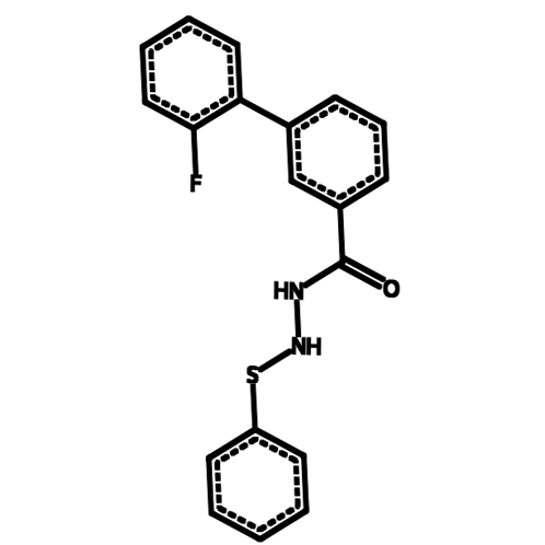 O=C(NNSc1ccccc1)c1cccc(-c2ccccc2F)c1